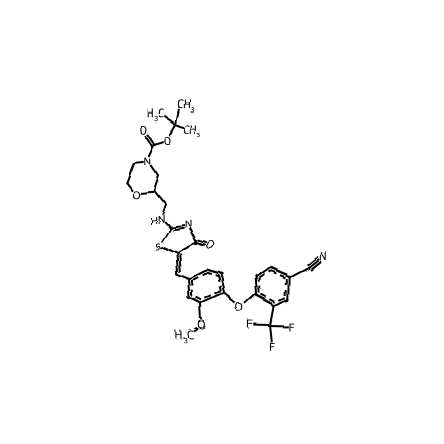 COc1cc(/C=C2/SC(NCC3CN(C(=O)OC(C)(C)C)CCO3)=NC2=O)ccc1Oc1ccc(C#N)cc1C(F)(F)F